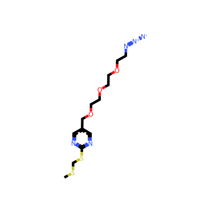 CSCSc1ncc(COCCOCCOCCN=[N+]=[N-])cn1